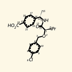 CC(C)[C@@H](OCc1ccc(Cl)cc1)C(=O)N[C@@H](C)c1ccc(C(=O)O)cc1